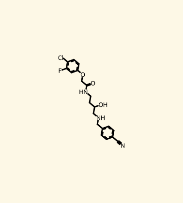 N#Cc1ccc(CNCC(O)CCNC(=O)COc2ccc(Cl)c(F)c2)cc1